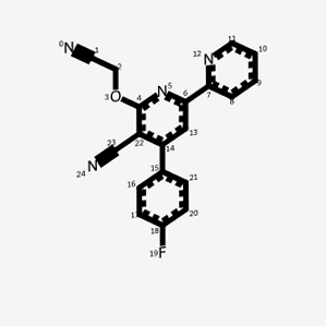 N#CCOc1nc(-c2ccccn2)cc(-c2ccc(F)cc2)c1C#N